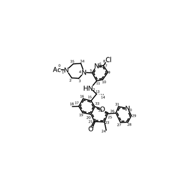 CC(=O)N1CCN(c2nc(Cl)ccc2N[C@H](C)c2cc(C)cc3c(=O)c(C)c(-c4cccnc4)oc23)CC1